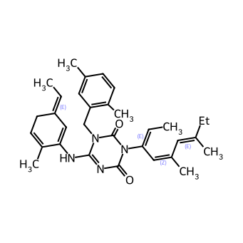 C/C=C1/C=C(Nc2nc(=O)n(C(/C=C(C)\C=C(/C)CC)=C/C)c(=O)n2Cc2cc(C)ccc2C)C(C)=CC1